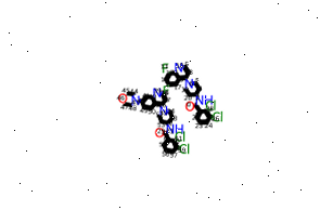 O=C(NC1CCN(c2ccnc3c(F)cc(F)cc23)CC1)c1cccc(Cl)c1Cl.O=C(NC1CCN(c2ccnc3cc(N4CCOCC4)ccc23)CC1)c1cccc(Cl)c1Cl